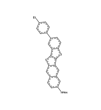 CCCCCCc1ccc2cc3sc4c5cc(-c6ccc(CC)cc6)ccc5sc4c3cc2c1